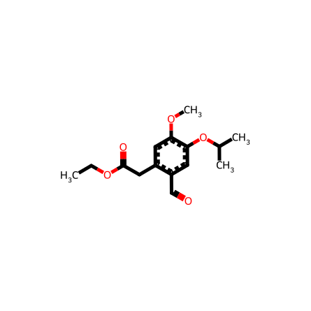 CCOC(=O)Cc1cc(OC)c(OC(C)C)cc1C=O